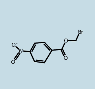 O=C(OCBr)c1ccc([N+](=O)[O-])cc1